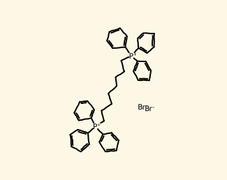 [Br-].[Br-].c1ccc([P+](CCCCCCCC[P+](c2ccccc2)(c2ccccc2)c2ccccc2)(c2ccccc2)c2ccccc2)cc1